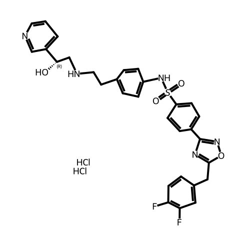 Cl.Cl.O=S(=O)(Nc1ccc(CCNC[C@H](O)c2cccnc2)cc1)c1ccc(-c2noc(Cc3ccc(F)c(F)c3)n2)cc1